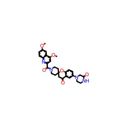 COc1ccc2nc(C(=O)N3CCC4(CC3)CC(=O)c3cc(N5CCNC(=O)C5)ccc3O4)cc(OC)c2c1